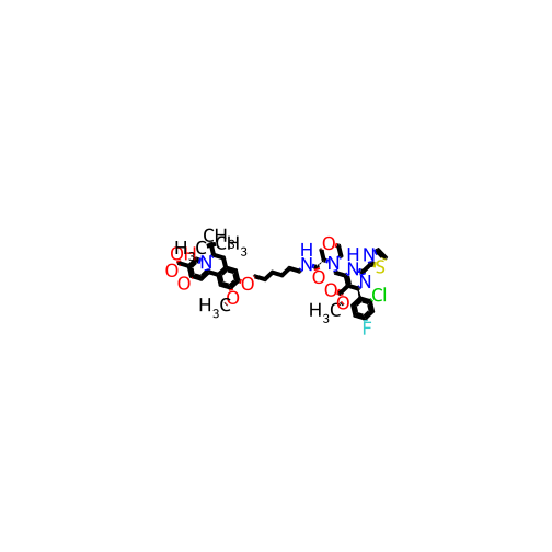 COC(=O)C1=C(CN2CCOC[C@H]2C(=O)NCCCCCCOc2cc3c(cc2OC)-c2cc(=O)c(C(=O)O)cn2C(C(C)(C)C)C3)NC(c2nccs2)=N[C@H]1c1ccc(F)cc1Cl